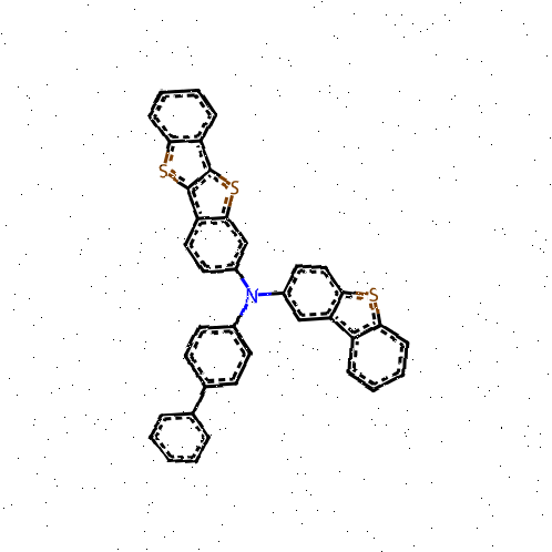 c1ccc(-c2ccc(N(c3ccc4c(c3)sc3c5ccccc5sc43)c3ccc4sc5ccccc5c4c3)cc2)cc1